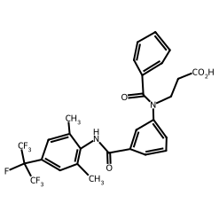 Cc1cc(C(F)(C(F)(F)F)C(F)(F)F)cc(C)c1NC(=O)c1cccc(N(CCC(=O)O)C(=O)c2ccccc2)c1